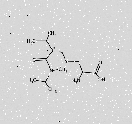 CC(C)[C@H](CSCC(N)C(=O)O)C(=O)N(C)C(C)C